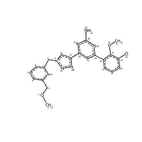 COCc1cccc(Cn2cc(-c3cc(-c4cccc(Cl)c4OC)nc(N)n3)nn2)n1